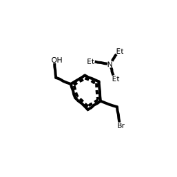 CCN(CC)CC.OCc1ccc(CBr)cc1